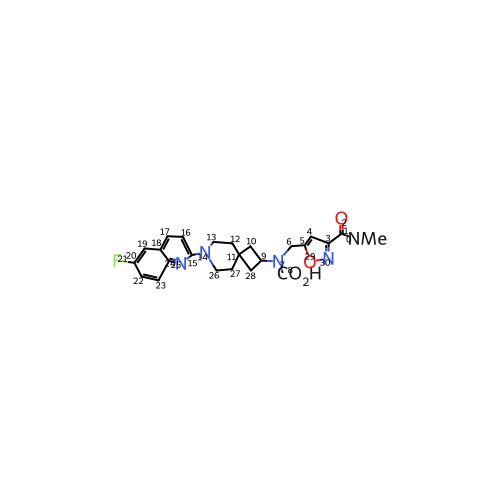 CNC(=O)c1cc(CN(C(=O)O)C2CC3(CCN(c4ccc5cc(F)ccc5n4)CC3)C2)on1